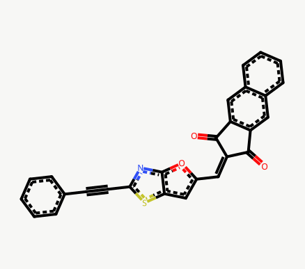 O=C1C(=Cc2cc3sc(C#Cc4ccccc4)nc3o2)C(=O)c2cc3ccccc3cc21